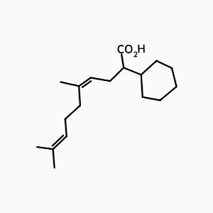 CC(C)=CCCC(C)=CCC(C(=O)O)C1CCCCC1